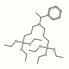 CCO[Si](CCCN(CCC[Si](OCC)(OCC)OCC)C(C)c1ccccc1)(OCC)OCC